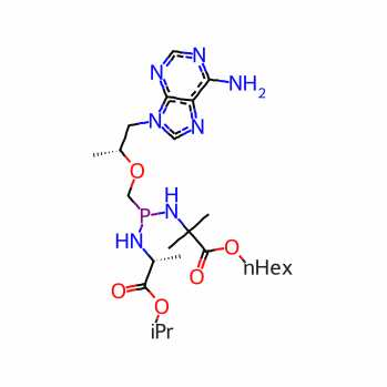 CCCCCCOC(=O)C(C)(C)NP(CO[C@H](C)Cn1cnc2c(N)ncnc21)N[C@H](C)C(=O)OC(C)C